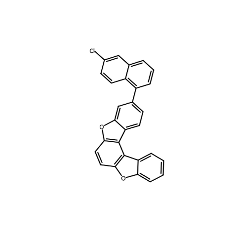 Clc1ccc2c(-c3ccc4c(c3)oc3ccc5oc6ccccc6c5c34)cccc2c1